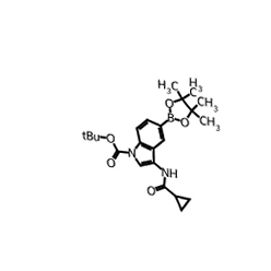 CC(C)(C)OC(=O)n1cc(NC(=O)C2CC2)c2cc(B3OC(C)(C)C(C)(C)O3)ccc21